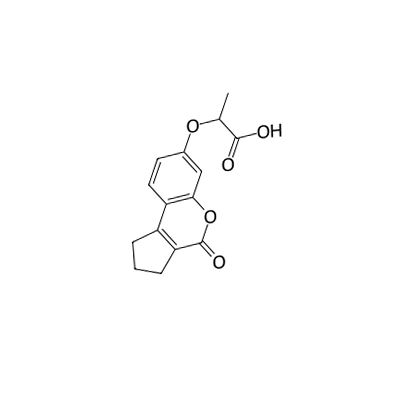 CC(Oc1ccc2c3c(c(=O)oc2c1)CCC3)C(=O)O